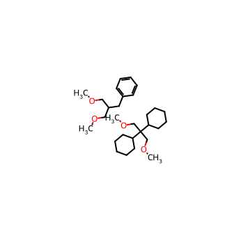 COCC(COC)(C1CCCCC1)C1CCCCC1.COCC(COC)Cc1ccccc1